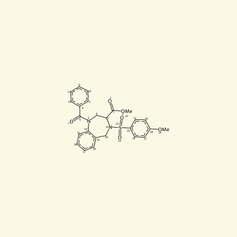 COC(=O)C1CN(C(=O)c2ccccc2)c2ccccc2CN1S(=O)(=O)c1ccc(OC)cc1